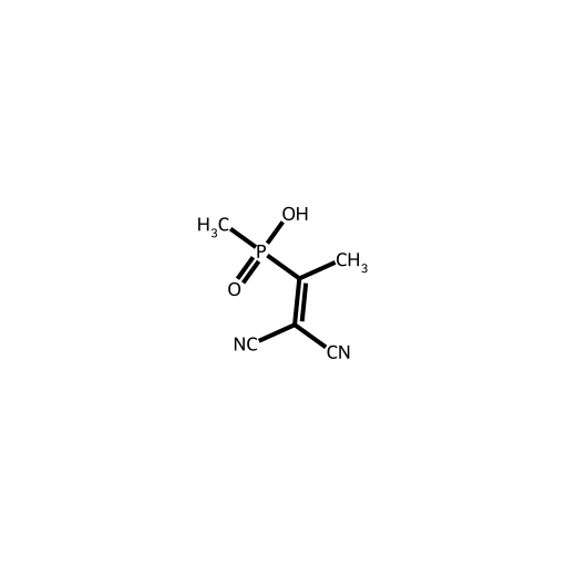 CC(=C(C#N)C#N)P(C)(=O)O